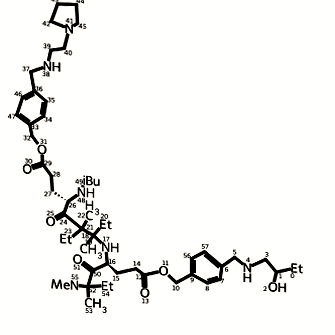 CCC(O)CNCc1ccc(COC(=O)CC[C@H](NC(C)(CC)C(C)(CC)C(=O)[C@H](CCC(=O)OCc2ccc(CNCCN3CCCC3)cc2)NC(C)CC)C(=O)C(C)(CC)NC)cc1